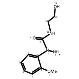 COc1ccccc1N(N)C(=O)NCCO